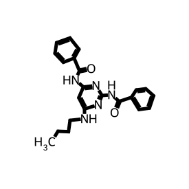 CCCCNc1cc(NC(=O)c2ccccc2)nc(NC(=O)c2ccccc2)n1